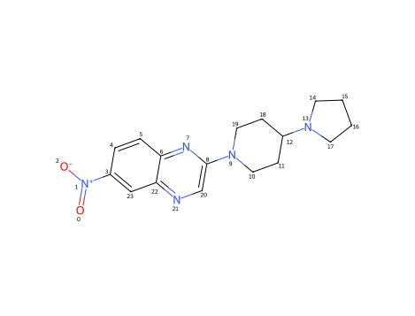 O=[N+]([O-])c1ccc2nc(N3CCC(N4CCCC4)CC3)cnc2c1